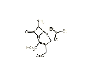 CC(=O)OCC1=C(C(=O)O)N2C(=O)C(N)C2SC1.CCN(CC)CC